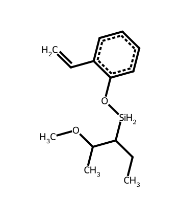 C=Cc1ccccc1O[SiH2]C(CC)C(C)OC